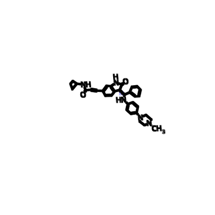 CN1CCN(c2ccc(N/C(=C3/C(=O)Nc4cc(C#CC(=O)NC5CCC5)ccc43)c3ccccc3)cc2)CC1